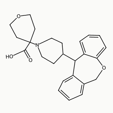 O=C(O)C1(N2CCC(C3c4ccccc4COc4ccccc43)CC2)CCOCC1